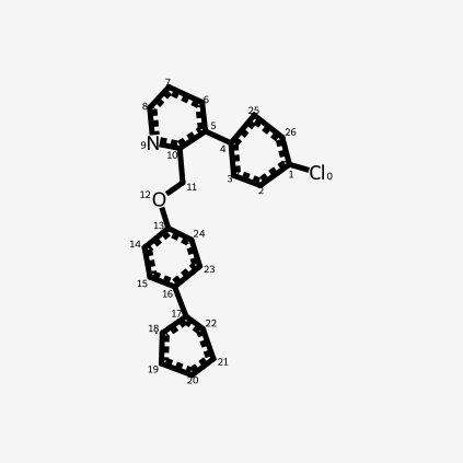 Clc1ccc(-c2cccnc2COc2ccc(-c3[c]cccc3)cc2)cc1